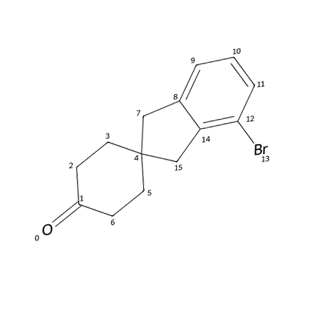 O=C1CCC2(CC1)Cc1cccc(Br)c1C2